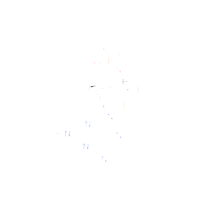 C[C@@]1(F)[C@@H]2OP(=O)(OCC3CC3)OC[C@H]2O[C@H]1n1cnc2c(N3CCC3)nc(N)nc21